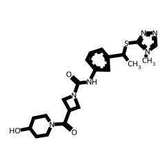 CC(Sc1nncn1C)c1cccc(NC(=O)N2CC(C(=O)N3CCC(O)CC3)C2)c1